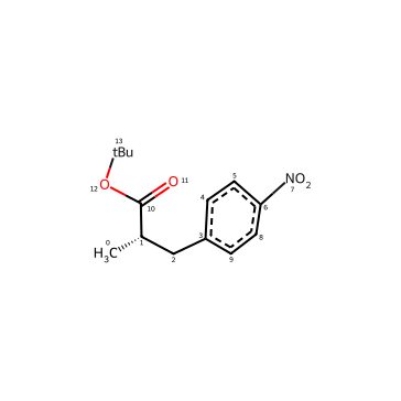 C[C@@H](Cc1ccc([N+](=O)[O-])cc1)C(=O)OC(C)(C)C